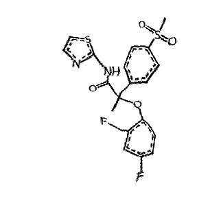 CC(Oc1ccc(F)cc1F)(C(=O)Nc1nccs1)c1ccc(S(C)(=O)=O)cc1